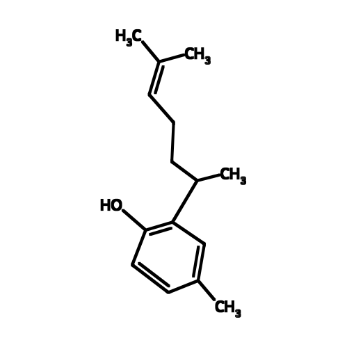 CC(C)=CCCC(C)c1cc(C)ccc1O